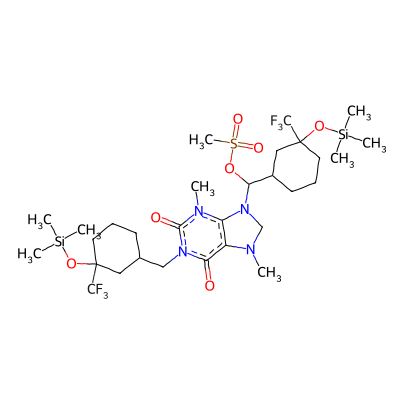 CN1CN(C(OS(C)(=O)=O)C2CCCC(O[Si](C)(C)C)(C(F)(F)F)C2)c2c1c(=O)n(CC1CCCC(O[Si](C)(C)C)(C(F)(F)F)C1)c(=O)n2C